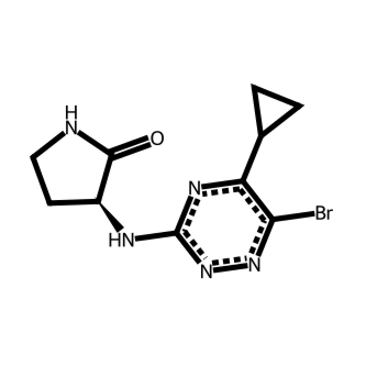 O=C1NCC[C@@H]1Nc1nnc(Br)c(C2CC2)n1